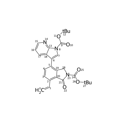 C=Cc1ccc(-c2cn(C(=O)OC(C)(C)C)c3ncccc23)c2c1C(=O)N(C(=O)OC(C)(C)C)C2